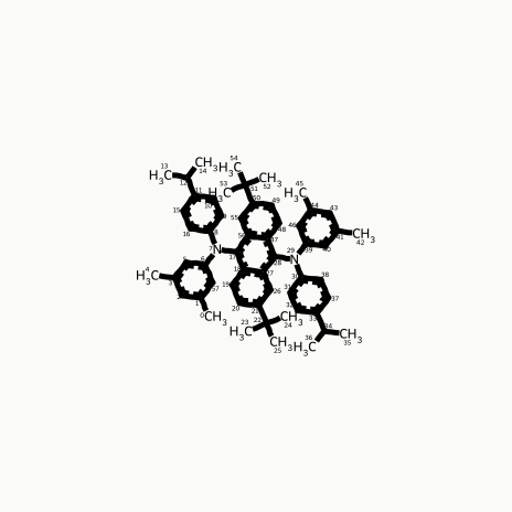 Cc1cc(C)cc(N(c2ccc(C(C)C)cc2)c2c3ccc(C(C)(C)C)cc3c(N(c3ccc(C(C)C)cc3)c3cc(C)cc(C)c3)c3ccc(C(C)(C)C)cc23)c1